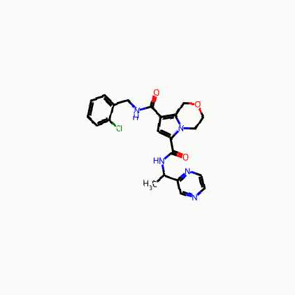 CC(NC(=O)c1cc(C(=O)NCc2ccccc2Cl)c2n1CCOC2)c1cnccn1